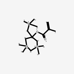 C=C(C)C(=O)OC1(C[Si](C)(C)C)C[Si](C)(C)C[Si](C)(C)C1